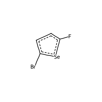 Fc1ccc(Br)[se]1